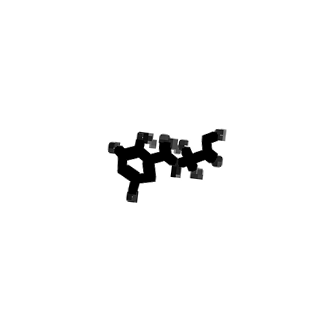 CCC(C)(NC(=O)c1cc(Cl)cc(Cl)c1C)C(=O)CCl